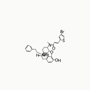 CN(C(=O)/C=C/c1cc(Br)cs1)C1CC[C@@]2(O)[C@H]3Cc4ccc(O)c5c4[C@@]2(CCN3CCc2ccccc2)C1O5